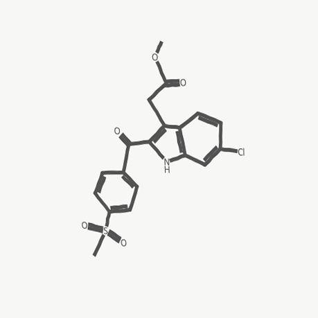 COC(=O)Cc1c(C(=O)c2ccc(S(C)(=O)=O)cc2)[nH]c2cc(Cl)ccc12